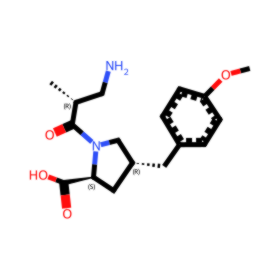 COc1ccc(C[C@@H]2C[C@@H](C(=O)O)N(C(=O)[C@H](C)CN)C2)cc1